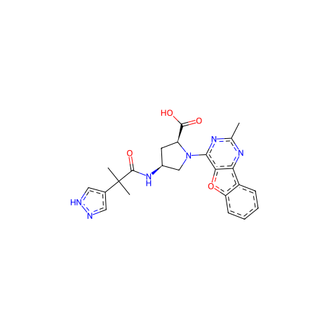 Cc1nc(N2C[C@@H](NC(=O)C(C)(C)c3cn[nH]c3)C[C@H]2C(=O)O)c2oc3ccccc3c2n1